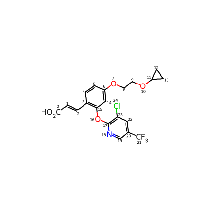 O=C(O)C=Cc1ccc(OCCOC2CC2)cc1Oc1ncc(C(F)(F)F)cc1Cl